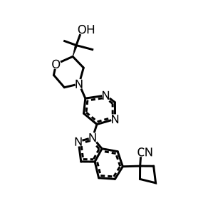 CC(C)(O)[C@H]1CN(c2cc(-n3ncc4ccc(C5(C#N)CCC5)cc43)ncn2)CCO1